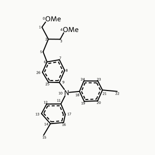 COCC(COC)Cc1ccc(N(c2ccc(C)cc2)c2ccc(C)cc2)cc1